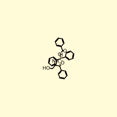 NC(CO)C(O[PH](OC(=O)c1ccccc1)(c1ccccc1)c1ccccc1)c1ccccc1